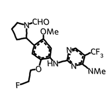 CNc1nc(Nc2cc(OC)c(C3CCCN3C=O)cc2OCCF)ncc1C(F)(F)F